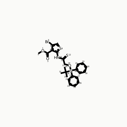 COC(=O)c1c(Br)csc1NC(=S)CO[Si](c1ccccc1)(c1ccccc1)C(C)(C)C